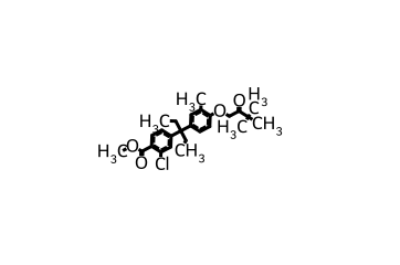 CCC(CC)(c1ccc(OCC(=O)C(C)(C)C)c(C)c1)c1ccc(C(=O)OC)c(Cl)c1